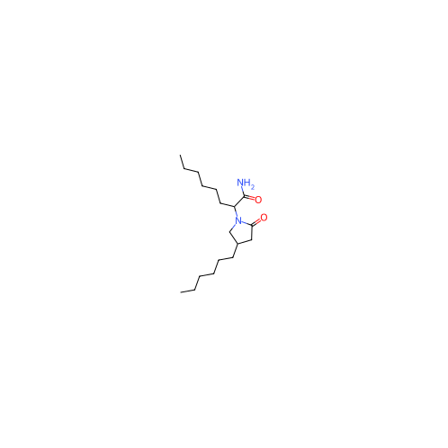 CCCCCCC1CC(=O)N(C(CCCCCC)C(N)=O)C1